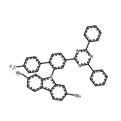 CC(C)(C)c1ccc2c3ccc(C(C)(C)C)cc3n(-c3cc(-c4nc(-c5ccccc5)nc(-c5ccccc5)n4)ccc3-c3ccc(C(F)(F)F)cc3)c2c1